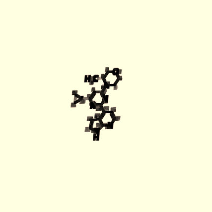 C[C@@H]1COCCN1c1cc([C]2CC2)nc(-c2ccnc3[nH]ccc23)n1